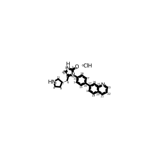 Cl.O=c1[nH]nc(C[C@@H]2CCNC2)n1-c1ccc(-c2ccc3cccnc3c2)cc1